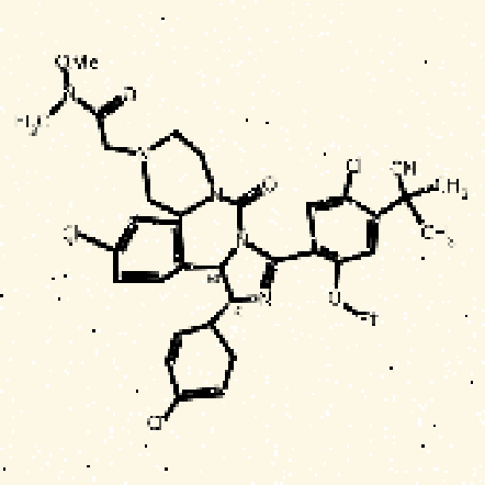 CCOc1cc(C(C)(C)C#N)c(Cl)cc1C1=N[C@@H](C2C=CC(Cl)=CC2)[C@@H](c2ccc(Cl)cc2)N1C(=O)N1CCN(CC(=O)N(C)OC)CC1